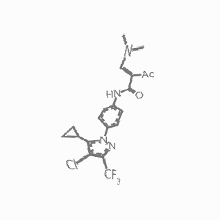 CC(=O)C(=CN(C)C)C(=O)Nc1ccc(-n2nc(C(F)(F)F)c(Cl)c2C2CC2)cc1